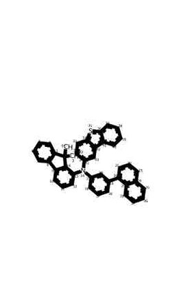 CC1(C)c2ccccc2-c2cccc(N(c3cccc(-c4cccc5ccccc45)c3)c3ccc4sc5ccccc5c4c3)c21